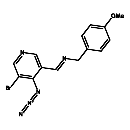 COc1ccc(CN=Cc2cncc(Br)c2N=[N+]=[N-])cc1